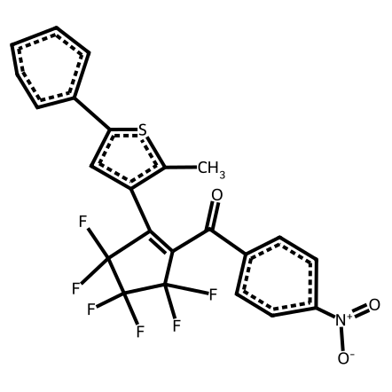 Cc1sc(-c2ccccc2)cc1C1=C(C(=O)c2ccc([N+](=O)[O-])cc2)C(F)(F)C(F)(F)C1(F)F